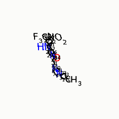 Cc1ccc(N2CCCN(CCCC(=O)N3CCC(Nc4ccc([N+](=O)[O-])c(C(F)(F)F)c4)CC3)CC2)cc1